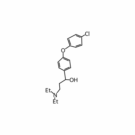 CCN(CC)CCC(O)c1ccc(Oc2ccc(Cl)cc2)cc1